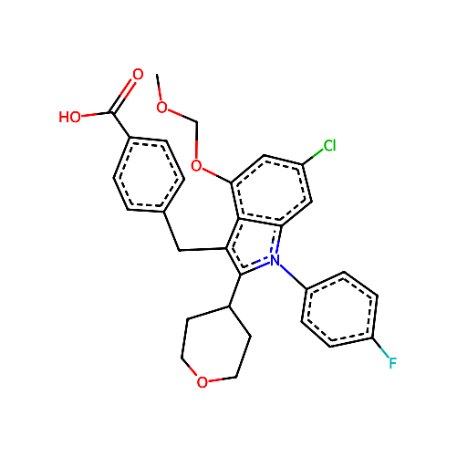 COCOc1cc(Cl)cc2c1c(Cc1ccc(C(=O)O)cc1)c(C1CCOCC1)n2-c1ccc(F)cc1